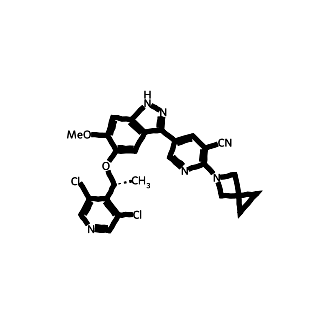 COc1cc2[nH]nc(-c3cnc(N4CC5(CC5)C4)c(C#N)c3)c2cc1O[C@H](C)c1c(Cl)cncc1Cl